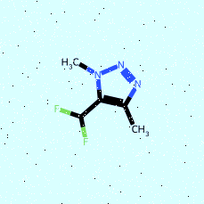 Cc1nnn(C)c1C(F)F